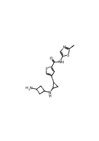 Cc1ncc(NC(=O)c2cc(C3CC3NC3CC(N)C3)cs2)s1